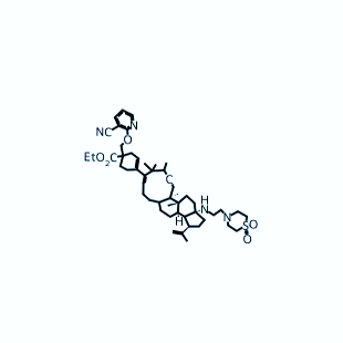 C=C(C)[C@@H]1CC[C@]2(NCCN3CCS(=O)(=O)CC3)CC[C@]3(C)[C@H](CCC4CC/C=C(/C5=CCC(COc6ncccc6C#N)(C(=O)OCC)CC5)C(C)(C)C(C)CC[C@]43C)C12